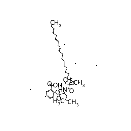 CCC=CCC=CCC=CCCCCCCCCSC(CC)(CC)C(=O)NC(CC(C)C)C(=O)Oc1ccccc1C(=O)O